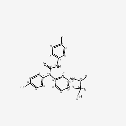 Cc1ccc(NC(=O)N(c2ccc(F)cc2)c2ccnc(NC(C)C(C)(C)O)n2)cc1